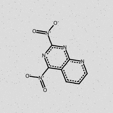 O=[N+]([O-])c1nc([N+](=O)[O-])c2cccnc2n1